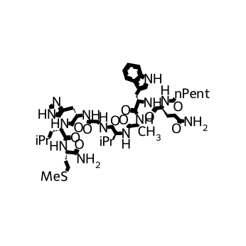 CCCCCC(=O)N[C@@H](CCC(N)=O)C(=O)N[C@@H](Cc1c[nH]c2ccccc12)C(=O)N[C@@H](C)C(=O)N[C@H](C(=O)NCC(=O)N[C@@H](Cc1c[nH]cn1)C(=O)N[C@@H](CC(C)C)C(=O)N[C@@H](CCSC)C(N)=O)C(C)C